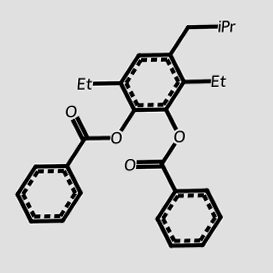 CCc1cc(CC(C)C)c(CC)c(OC(=O)c2ccccc2)c1OC(=O)c1ccccc1